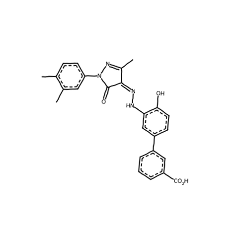 CC1=NN(c2ccc(C)c(C)c2)C(=O)C1=NNc1cc(-c2cccc(C(=O)O)c2)ccc1O